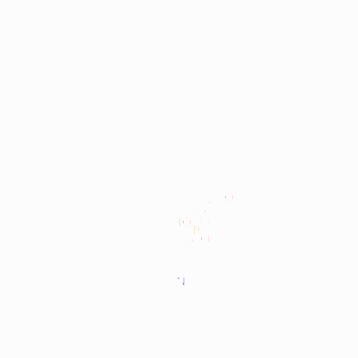 CCCCCCCCCCCCCCCCCCOc1ccccc1CC(COP(=O)(O)OCCCN(C)C)CC(=O)CCC